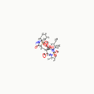 CCC(C)N1C(=O)C(C=C2C(=O)NC3(CCCCC3)S2(=O)=O)=C(O)N(C(C)CC)S1(=O)=O